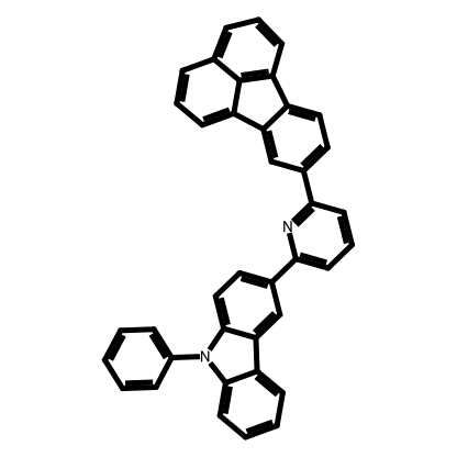 c1ccc(-n2c3ccccc3c3cc(-c4cccc(-c5ccc6c(c5)-c5cccc7cccc-6c57)n4)ccc32)cc1